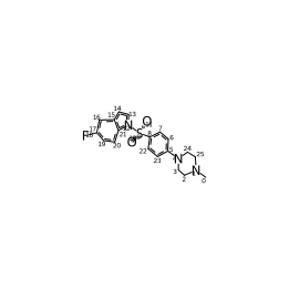 CN1CCN(c2ccc(S(=O)(=O)n3ccc4cc(F)ccc43)cc2)CC1